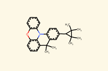 CC1(C)c2cc(C3C(C)(C)C3(C)C)ccc2N2c3ccccc3Oc3cccc1c32